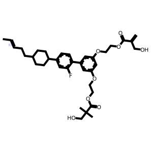 C=C(CO)C(=O)OCCOc1cc(OCCOC(=O)C(C)(C)CO)cc(-c2ccc(C3CCC(CC/C=C/C)CC3)cc2F)c1